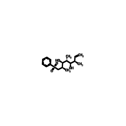 C=C[C@@H](C)[C@@H](O)[C@@H](C)[C@H](O)[C@@H](C)CS(=O)(=O)c1ccccc1